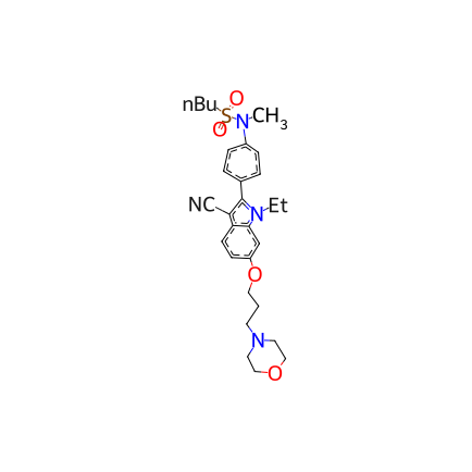 CCCCS(=O)(=O)N(C)c1ccc(-c2c(C#N)c3ccc(OCCCN4CCOCC4)cc3n2CC)cc1